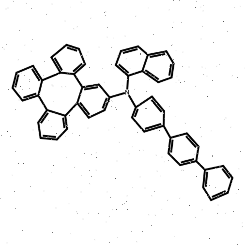 c1ccc(-c2ccc(-c3ccc(N(c4ccc5c(c4)-c4ccccc4-c4ccccc4-c4ccccc4-5)c4cccc5ccccc45)cc3)cc2)cc1